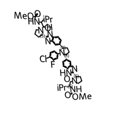 COC(=O)NC(C(=O)N1CCC[C@H]1c1nc2cc([C@H]3CC[C@H](c4ccc5[nH]c([C@@H]6CCCN6C(=O)[C@@H](NC(=O)OC)C(C)C)nc5c4)N3c3ccc(Cl)c(F)c3)ccc2[nH]1)C(C)C